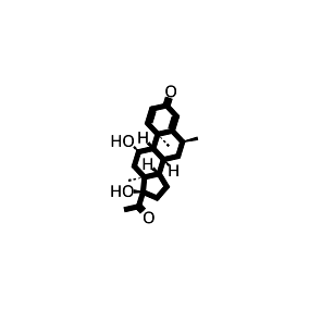 CC(=O)[C@@]1(O)CC[C@H]2[C@@H]3C[C@H](C)C4=CC(=O)C=C[C@]4(C)[C@H]3[C@@H](O)C[C@@]21C